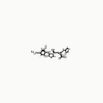 Cn1cncc1CC1C(C(=O)O)C1C(=O)N1CCN=C1Nc1c(Cl)cc(N)cc1Cl